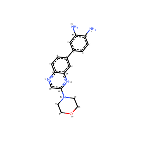 Nc1ccc(-c2ccc3ncc(N4CCOCC4)nc3c2)cc1N